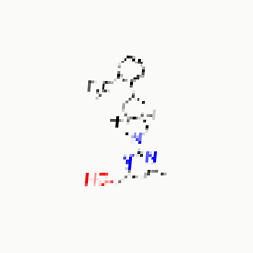 Cc1cc(CO)nc(N2C[C@H]3C[C@@H](c4ccccc4C(F)(F)F)C[C@H]3C2)n1